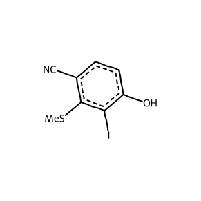 CSc1c(C#N)ccc(O)c1I